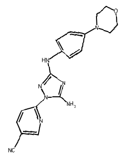 N#Cc1ccc(-n2nc(Nc3ccc(N4CCOCC4)cc3)nc2N)nc1